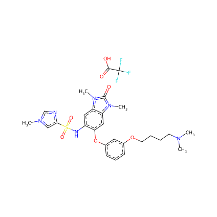 CN(C)CCCCOc1cccc(Oc2cc3c(cc2NS(=O)(=O)c2cn(C)cn2)n(C)c(=O)n3C)c1.O=C(O)C(F)(F)F